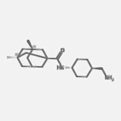 C[C@]12CC3CC(C(=O)N[C@H]4CC[C@H](CN)CC4)(C1)C[C@@](C)(C3)C2